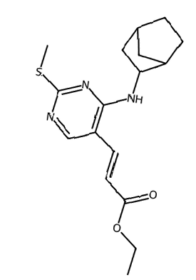 CCOC(=O)/C=C/c1cnc(SC)nc1NC1CC2CCC1C2